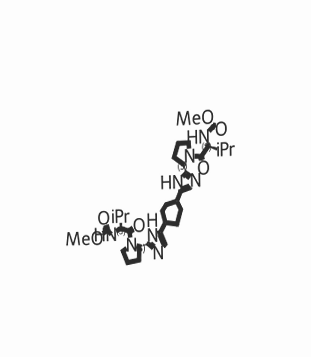 COC(=O)N[C@H](C(=O)N1CCC[C@H]1c1ncc(C2CCC(c3cnc([C@@H]4CCCN4C(=O)[C@@H](NC(=O)OC)C(C)C)[nH]3)CC2)[nH]1)C(C)C